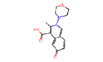 Cc1c(C(=O)O)c2cc(=O)ccc-2cn1N1CCOCC1